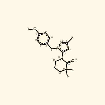 COc1ccc(Cn2nc(C)cc2N2CCCC(C)(C)C2=O)cc1